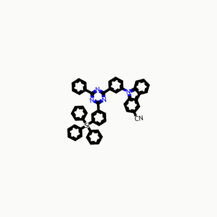 N#Cc1ccc2c(c1)c1ccccc1n2-c1cccc(-c2nc(-c3ccccc3)nc(-c3cccc([Si](c4ccccc4)(c4ccccc4)c4ccccc4)c3)n2)c1